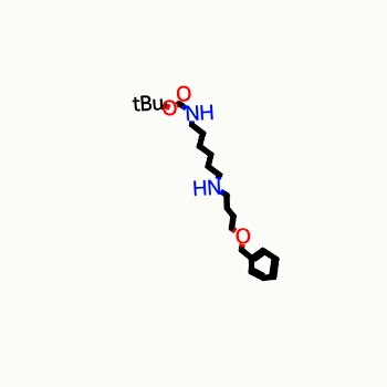 CC(C)(C)OC(=O)NCCCCCCNCCCCOCc1ccccc1